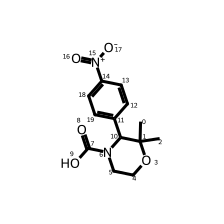 CC1(C)OCCN(C(=O)O)C1c1ccc([N+](=O)[O-])cc1